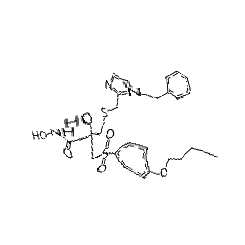 CCCCOc1ccc(S(=O)(=O)CC(O)(CSCc2nccn2Cc2ccccc2)C(=O)NO)cc1